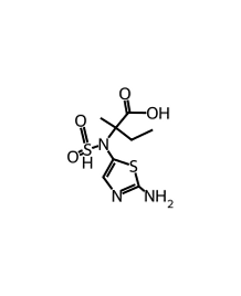 CCC(C)(C(=O)O)N(c1cnc(N)s1)[SH](=O)=O